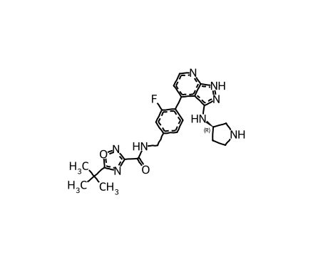 CC(C)(C)c1nc(C(=O)NCc2ccc(-c3ccnc4[nH]nc(N[C@@H]5CCNC5)c34)c(F)c2)no1